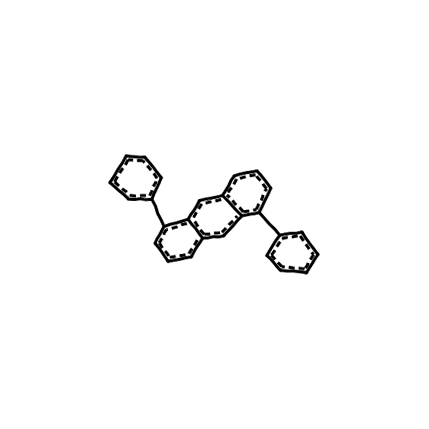 c1ccc(-c2cccc3cc4c(-c5ccccc5)cccc4cc23)cc1